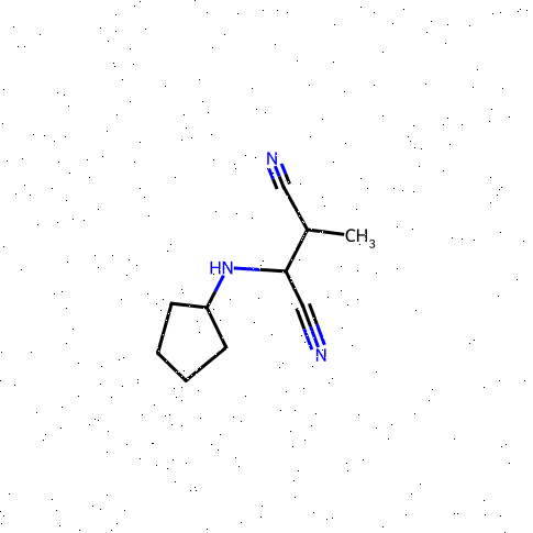 CC(C#N)C(C#N)NC1CCCC1